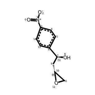 O=[N+]([O-])c1ccc([C@@H](O)C[C@@H]2CO2)cc1